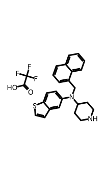 O=C(O)C(F)(F)F.c1ccc2c(CN(c3ccc4sccc4c3)C3CCNCC3)cccc2c1